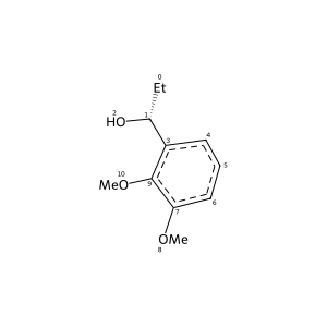 CC[C@@H](O)c1cccc(OC)c1OC